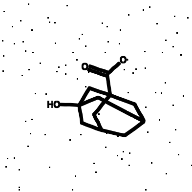 [O]C(=O)C12CC3CC(CC(O)(C3)C1)C2